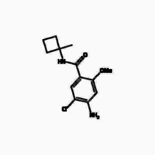 COc1cc(N)c(Cl)cc1C(=O)NC1(C)CCC1